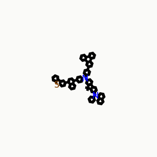 CC1(C)c2cc(N(c3ccc(-c4ccc5c6ccccc6c6ccccc6c5c4)cc3)c3ccc(-c4ccc(-c5ccc6sc7ccccc7c6c5)c5ccccc45)cc3)ccc2-c2ccc(N(c3ccccc3)c3cccc4ccccc34)cc21